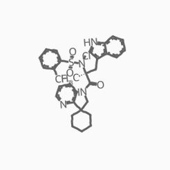 C[C@](Cc1c[nH]c2ccccc12)(C(=O)NCC1(c2ccccn2)CCCCC1)N(Cl)S(=O)(=O)c1ccccc1C(F)(F)F